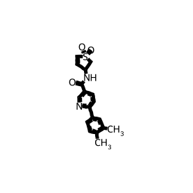 Cc1ccc(-c2ccc(C(=O)NC3C=CS(=O)(=O)C3)cn2)cc1C